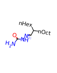 CCCCCCCCC(/C=N/NC(N)=O)CCCCCC